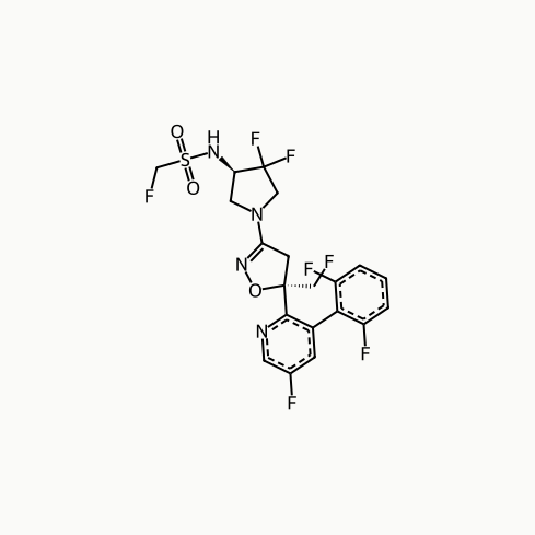 O=S(=O)(CF)N[C@@H]1CN(C2=NO[C@](CF)(c3ncc(F)cc3-c3c(F)cccc3F)C2)CC1(F)F